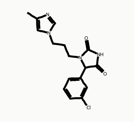 Cc1cn(CCCN2C(=O)NC(=O)C2c2cccc(Cl)c2)cn1